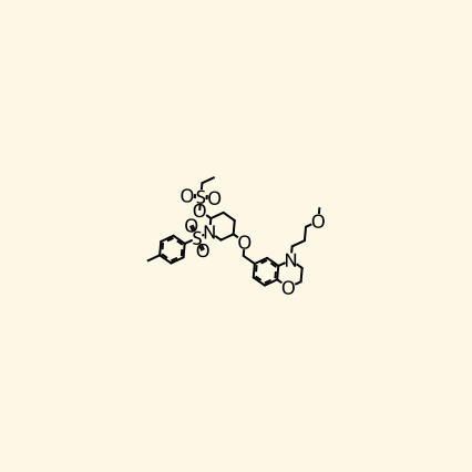 CCS(=O)(=O)OC1CCC(OCc2ccc3c(c2)N(CCCOC)CCO3)CN1S(=O)(=O)c1ccc(C)cc1